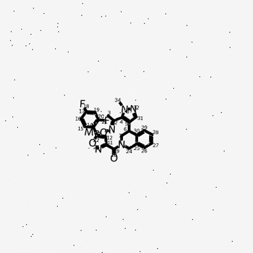 CON=C(C)c1c(C2CN(C(=O)c3cc(-c4ccc(F)cc4F)on3)Cc3ccccc32)cnn1C